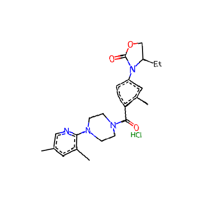 CCC1COC(=O)N1c1ccc(C(=O)N2CCN(c3ncc(C)cc3C)CC2)c(C)c1.Cl